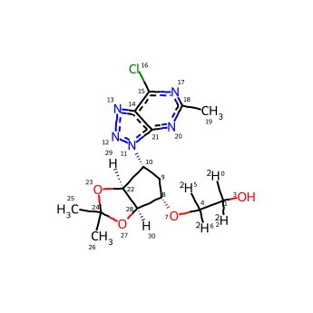 [2H]C([2H])(O)C([2H])([2H])O[C@H]1C[C@@H](n2nnc3c(Cl)nc(C)nc32)[C@@H]2OC(C)(C)O[C@@H]21